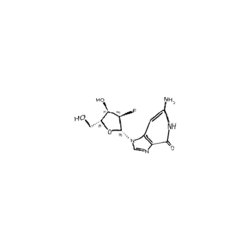 Nc1cc2c(ncn2[C@@H]2O[C@H](CO)[C@@H](O)[C@H]2F)c(=O)[nH]1